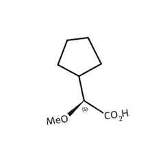 CO[C@H](C(=O)O)C1CCCC1